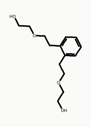 OCCOCCc1ccccc1CCOCCO